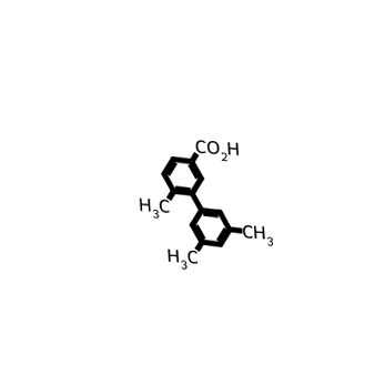 Cc1cc(C)cc(-c2cc(C(=O)O)ccc2C)c1